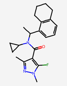 Cc1nn(C)c(F)c1C(=O)N(C1CC1)C(C)c1cccc2c1CCCC2